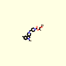 CCOC[C@@H](C)OC(=O)N1CCC(CN2CCC3(CC2)CN(C(C)=O)c2ccc(C)cc23)CC1